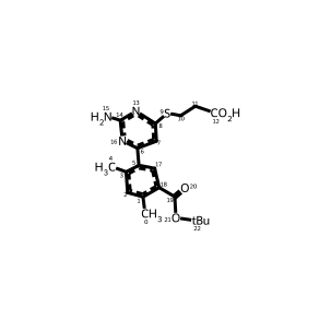 Cc1cc(C)c(-c2cc(SCCC(=O)O)nc(N)n2)cc1C(=O)OC(C)(C)C